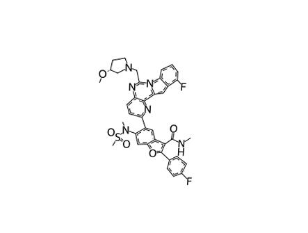 CNC(=O)c1c(-c2ccc(F)cc2)oc2cc(N(C)S(C)(=O)=O)c(-c3ccc4nc(CN5CC[C@@H](OC)C5)n5c6cccc(F)c6cc5c4n3)cc12